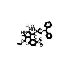 CCOC(=O)C1=C(C)NC(N)=C(C(=O)OC2CN(C(c3ccccc3)c3ccccc3)C2)C1c1cccc([N+](=O)[O-])c1.O